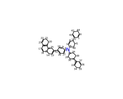 C1=CC(C2C=CC(N(c3ccc(C4=CCC5C=CC6=C(CCC=C6)C5C4)cc3)C3CCC(C4=CCCC=C4)CC3)CC2)=CCC1